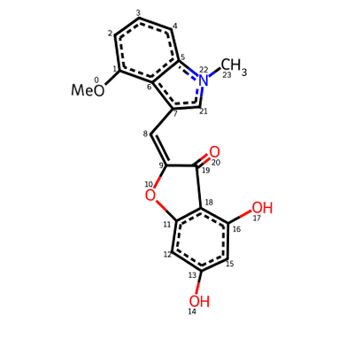 COc1cccc2c1c(/C=C1/Oc3cc(O)cc(O)c3C1=O)cn2C